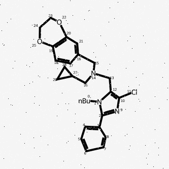 CCCCn1c(-c2ccccc2)nc(Cl)c1CN(Cc1ccc2c(c1)OCCO2)CC1CC1